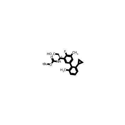 Cc1cc(-c2c(C)cccc2C2CC2)cc([C@H](CC(=O)O)NC(=O)OC(C)(C)C)c1F